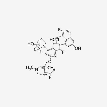 C#Cc1c(F)ccc2cc(O)cc(-c3c(Cl)cc4c(N5CCC[C@@](C)(O)C5)nc(OC[C@]5(C)CN(C)CC[C@@H]5C(F)F)nc4c3F)c12